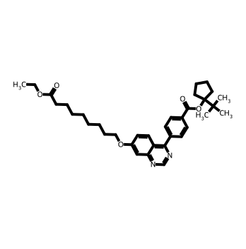 CCOC(=O)CCCCCCCCOc1ccc2c(-c3ccc(C(=O)OC4(C(C)(C)C)CCCC4)cc3)ncnc2c1